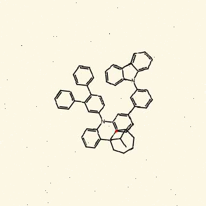 CC1C2CCCCC1(c1ccccc1N(c1cccc(-c3cccc(-n4c5ccccc5c5ccccc54)c3)c1)c1ccc(-c3ccccc3)c(-c3ccccc3)c1)C2